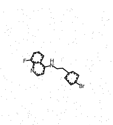 Fc1cccc2c(NCCc3ccc(Br)cc3)ccnc12